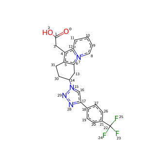 O=C(O)Cc1c2c(n3ccccc13)CC(n1cc(-c3ccc(C(F)(F)F)cc3)nn1)CC2